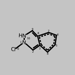 ClN1C=c2ccccc2=CN1